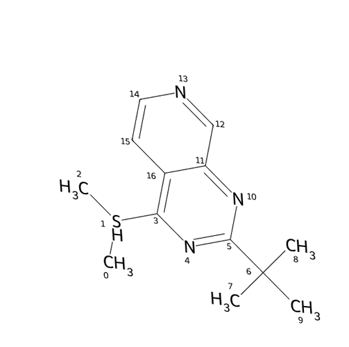 C[SH](C)c1nc(C(C)(C)C)nc2cnccc12